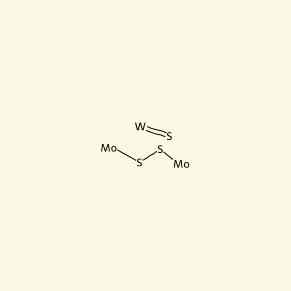 [Mo][S][S][Mo].[S]=[W]